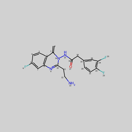 C=C1c2ccc(F)cc2N=C(CCN)N1NC(=O)Cc1ccc(F)c(F)c1